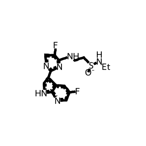 CCN[S+]([O-])CCNc1nc(-c2c[nH]c3ncc(F)cc23)ncc1F